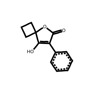 O=C1OC2(CCC2)C(O)=C1c1ccccc1